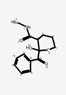 CCCCNC(=O)C1CCCCC1(O)C(=O)c1ccccc1